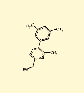 Cc1cc(C)cc(-c2ccc(CC(C)(C)C)cc2C)c1